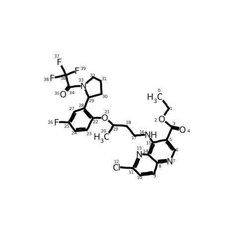 CCOC(=O)c1cnc2ccc(Cl)nc2c1NCCC(C)Oc1ccc(F)cc1C1CCCN1C(=O)C(F)(F)F